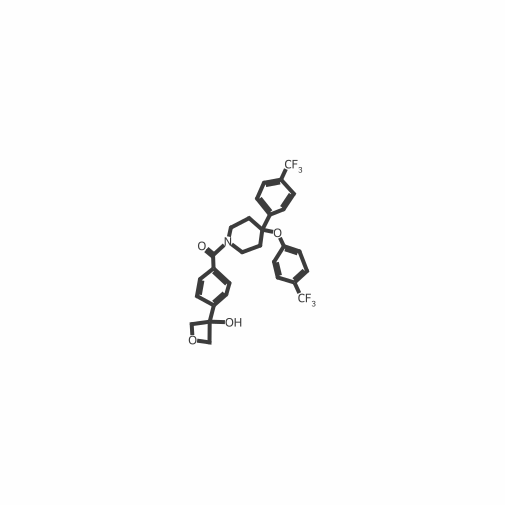 O=C(c1ccc(C2(O)COC2)cc1)N1CCC(Oc2ccc(C(F)(F)F)cc2)(c2ccc(C(F)(F)F)cc2)CC1